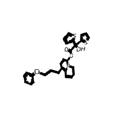 O=C(OC1C=CC(CCCOc2ccccc2)=C2C=CC=CN21)C(O)(c1cccs1)c1cccs1